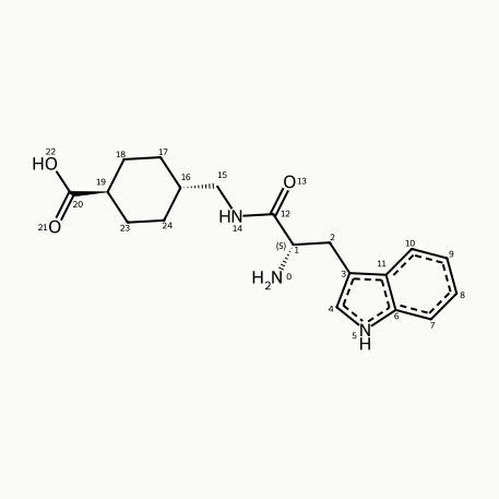 N[C@@H](Cc1c[nH]c2ccccc12)C(=O)NC[C@H]1CC[C@H](C(=O)O)CC1